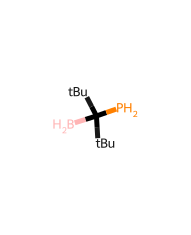 BC(P)(C(C)(C)C)C(C)(C)C